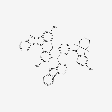 CC(C)(C)c1cc2c3c(c1)-n1c4c(cc(C(C)(C)C)cc4c4sc5ccccc5c41)B3c1ccc(N3c4ccc(C(C)(C)C)cc4C4(C)CCCCC34C)cc1C2c1cccc2c1sc1ccccc12